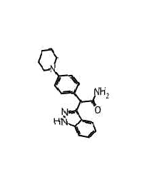 NC(=O)C(c1ccc(N2CCCCC2)cc1)c1n[nH]c2ccccc12